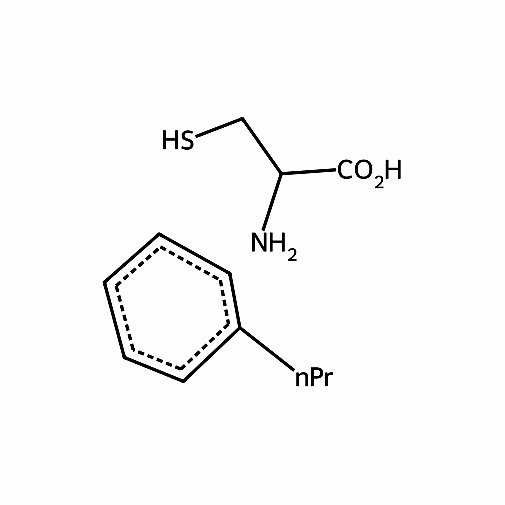 CCCc1ccccc1.NC(CS)C(=O)O